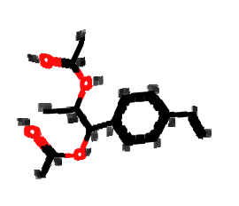 C=Cc1ccc(C(OC(C)=O)C(C)OC(C)=O)cc1